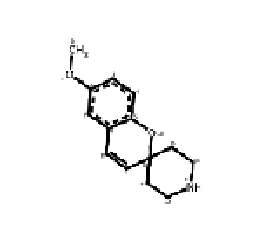 COc1ccc2c(c1)C=CC1(CCNCC1)O2